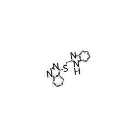 c1ccc2[nH]c(CSc3ncnc4ccccc34)nc2c1